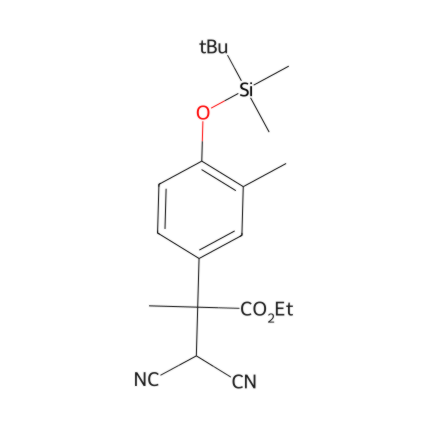 CCOC(=O)C(C)(c1ccc(O[Si](C)(C)C(C)(C)C)c(C)c1)C(C#N)C#N